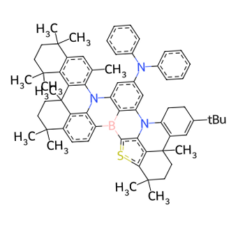 Cc1cc2c(c3c1N1c4cc(N(c5ccccc5)c5ccccc5)cc5c4B(c4ccc6c(c41)C3(C)CCC6(C)C)c1sc3c4c1N5C1=C(C=C(C(C)(C)C)CC1)C4(C)CCC3(C)C)C(C)(C)CCC2(C)C